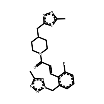 Cc1nnn(Cc2cccc(F)c2C=CC(=O)N2CCC(Cc3nnc(C)o3)CC2)n1